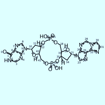 O=c1[nH]cnc2c1ncn2[C@H]1C[C@@H]2OP(=O)(O)OC[C@H]3O[C@@H](n4cnc5c4ncn4ccnc54)C[C@@H]3OP(=O)(O)OC[C@H]2O1